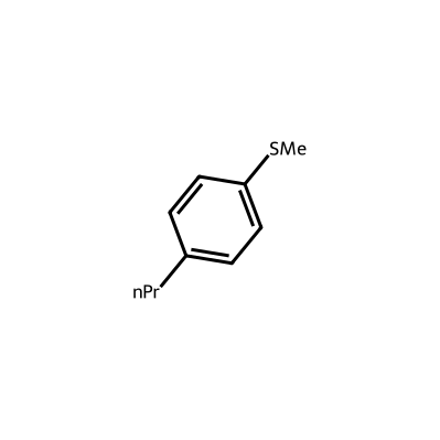 CCCc1ccc(SC)cc1